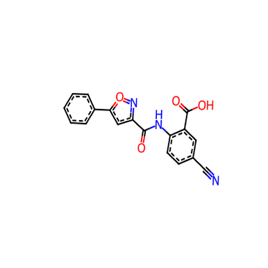 N#Cc1ccc(NC(=O)c2cc(-c3ccccc3)on2)c(C(=O)O)c1